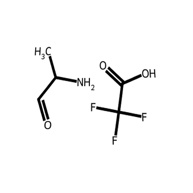 CC(N)C=O.O=C(O)C(F)(F)F